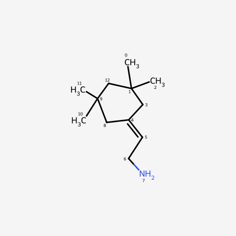 CC1(C)CC(=CCN)CC(C)(C)C1